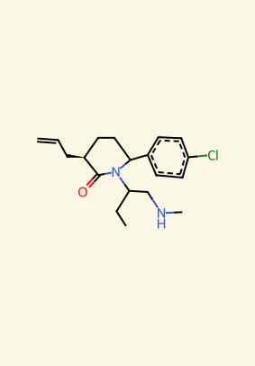 C=CC[C@H]1CCC(c2ccc(Cl)cc2)N(C(CC)CNC)C1=O